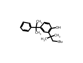 CC(C)(C)CC(C)(C)c1cc(C(C)(C)c2ccccc2)ccc1O